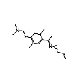 C=CCO/N=C(\C)c1cc(C)c(N=CN(C)CC)cc1C